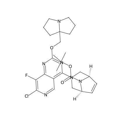 CC(C)(C)OC(=O)N1[C@@H]2C=C[C@H]1CN(c1nc(OCC34CCCN3CCC4)nc3c(F)c(Cl)ncc13)C2